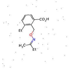 CCC(C)=NOCc1c(CC)cccc1C(=O)O